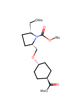 COC[C@H]1CC[C@@H](CO[C@H]2CC[C@H](C(=O)OC)CC2)N1C(=O)OC(C)(C)C